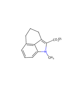 CCOC(=O)c1c2c3c(cccc3n1C)CCC2